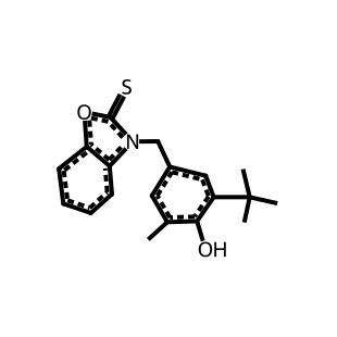 Cc1cc(Cn2c(=S)oc3ccccc32)cc(C(C)(C)C)c1O